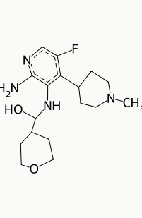 CN1CCC(c2c(F)cnc(N)c2NC(O)C2CCOCC2)CC1